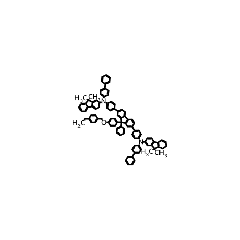 C=Cc1ccc(COc2ccc(C3(c4ccccc4)c4cc(-c5ccc(N(c6ccc(-c7ccccc7)cc6)c6ccc7c(c6)C(C)(C)C6=C7C=CCC6)cc5)ccc4-c4ccc(-c5ccc(N(c6ccc(-c7ccccc7)cc6)c6ccc7c(c6)C(C)(C)c6ccccc6-7)cc5)cc43)cc2)cc1